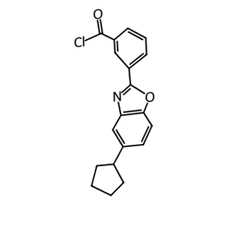 O=C(Cl)c1cccc(-c2nc3cc(C4CCCC4)ccc3o2)c1